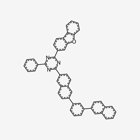 c1ccc(-c2nc(-c3ccc4cc(-c5cccc(-c6ccc7ccccc7c6)c5)ccc4c3)nc(-c3ccc4c(c3)oc3ccccc34)n2)cc1